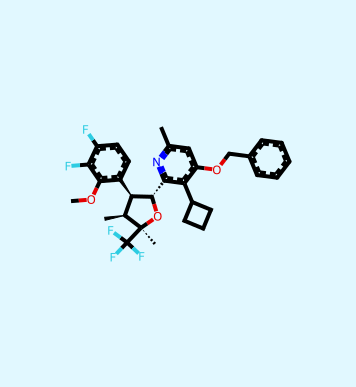 COc1c([C@H]2[C@H](c3nc(C)cc(OCc4ccccc4)c3C3CCC3)O[C@@](C)(C(F)(F)F)[C@H]2C)ccc(F)c1F